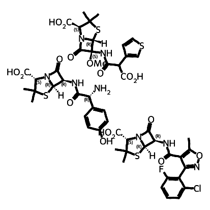 CC1(C)S[C@@H]2[C@H](NC(=O)[C@H](N)c3ccc(O)cc3)C(=O)N2[C@H]1C(=O)O.CO[C@@]1(NC(=O)C(C(=O)O)c2ccsc2)C(=O)N2[C@@H](C(=O)O)C(C)(C)S[C@@H]21.Cc1onc(-c2c(F)cccc2Cl)c1C(=O)N[C@@H]1C(=O)N2[C@@H]1SC(C)(C)[C@@H]2C(=O)O